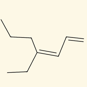 C=C/C=C(/CC)CCC